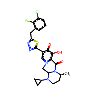 C[C@H]1CCN(C2CC2)C2Cn3cc(-c4nnc(Cc5cccc(Cl)c5F)s4)c(=O)c(O)c3C(=O)N21